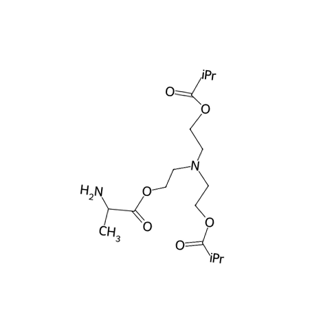 CC(C)C(=O)OCCN(CCOC(=O)C(C)C)CCOC(=O)C(C)N